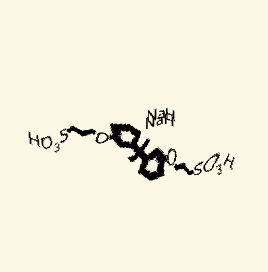 CC(C)(c1cccc(OCCCS(=O)(=O)O)c1)c1cccc(OCCCS(=O)(=O)O)c1.[NaH].[NaH]